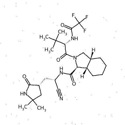 CC1(C)C[C@@H](C[C@@H](C#N)NC(=O)[C@@H]2[C@H]3CCCC[C@H]3CN2C(=O)[C@@H](NC(=O)C(F)(F)F)C(C)(C)C)C(=O)N1